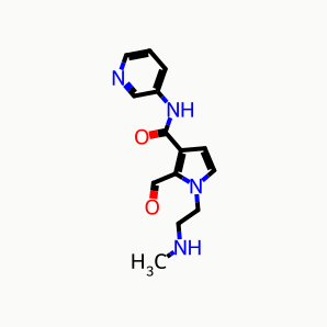 CNCCn1ccc(C(=O)Nc2cccnc2)c1C=O